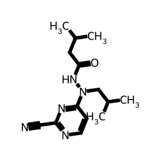 CC(C)CC(=O)NN(CC(C)C)c1ccnc(C#N)n1